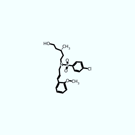 COc1ccccc1C=CCN(CC[C@@H](C)CCO)S(=O)(=O)c1ccc(Cl)cc1